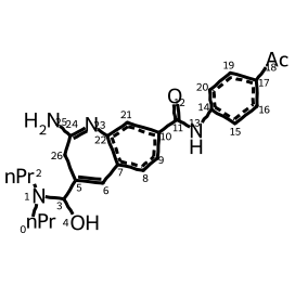 CCCN(CCC)C(O)C1=Cc2ccc(C(=O)Nc3ccc(C(C)=O)cc3)cc2N=C(N)C1